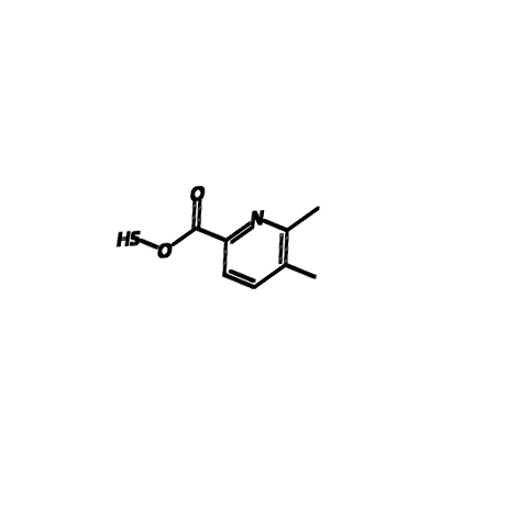 Cc1ccc(C(=O)OS)nc1C